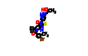 CCC1(CC)Cc2c([nH]c(=S)n(-c3ccc(NC[C@@H](C)O)nc3)c2=O)CN1C(=O)c1ccc(Br)c(C(F)(F)F)c1